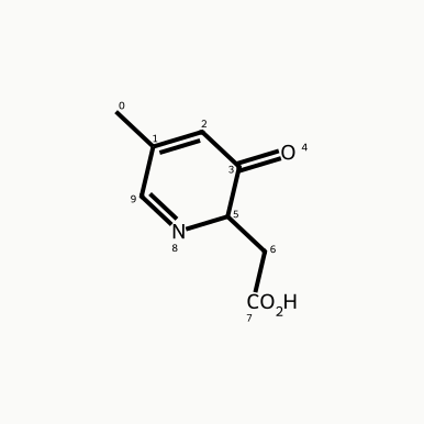 CC1=CC(=O)C(CC(=O)O)N=C1